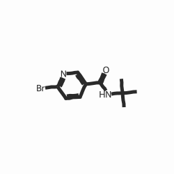 CC(C)(C)NC(=O)c1ccc(Br)nc1